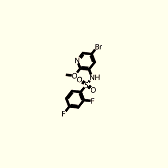 COc1ncc(Br)cc1NS(=O)(=O)c1ccc(F)cc1F